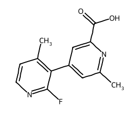 Cc1cc(-c2c(C)ccnc2F)cc(C(=O)O)n1